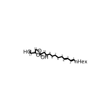 CCCCCC/C=C/C=C/CCCCCCCC1(O)OCC(CO)O1